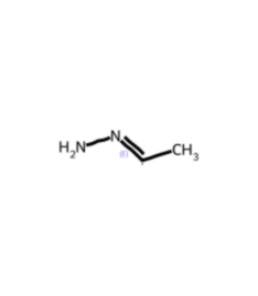 C/[C]=N/N